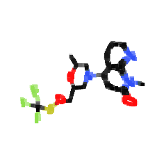 CC1CN(c2cc(=O)n(C)c3ncccc23)CC(COSC(F)(F)F)O1